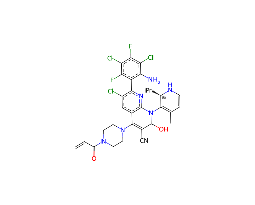 C=CC(=O)N1CCN(C2=C(C#N)C(O)N(C3=C(C)C=CN[C@@H]3C(C)C)c3nc(-c4c(N)c(Cl)c(F)c(Cl)c4F)c(Cl)cc32)CC1